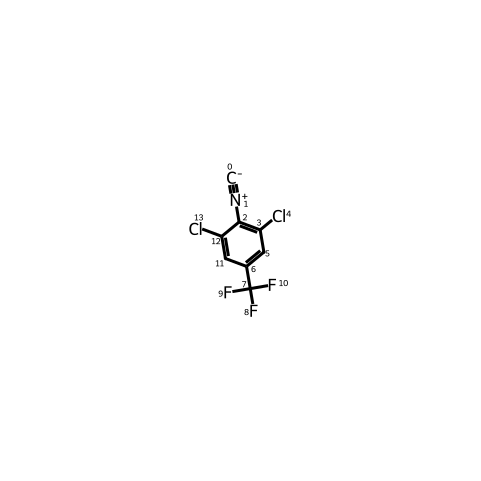 [C-]#[N+]c1c(Cl)cc(C(F)(F)F)cc1Cl